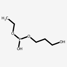 CCOP(O)OCCCO